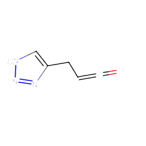 O=C=CCc1c[nH]nn1